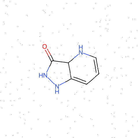 O=C1NNC2=CC=CNC12